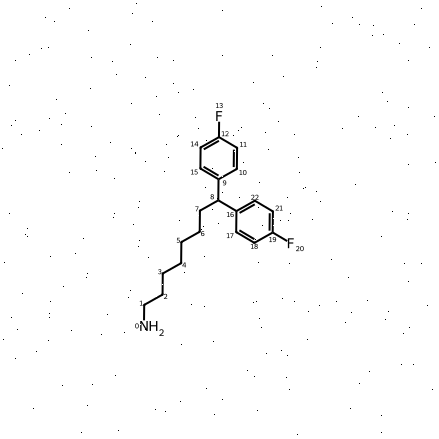 NCCCCCCCC(c1ccc(F)cc1)c1ccc(F)cc1